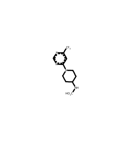 O=C(O)NC1CCN(c2cc(C(F)(F)F)ncn2)CC1